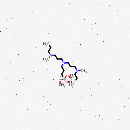 CCCN(C)CCCN(CCCN(C)CCC)CCC[Si](OC)(OC)OC